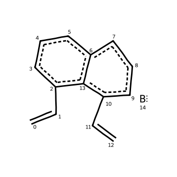 C=Cc1cccc2cccc(C=C)c12.[B]